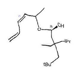 C=C/C=C\C(C)O[C@@H](O)C(C)(CC(C)(C)C)C(C)C